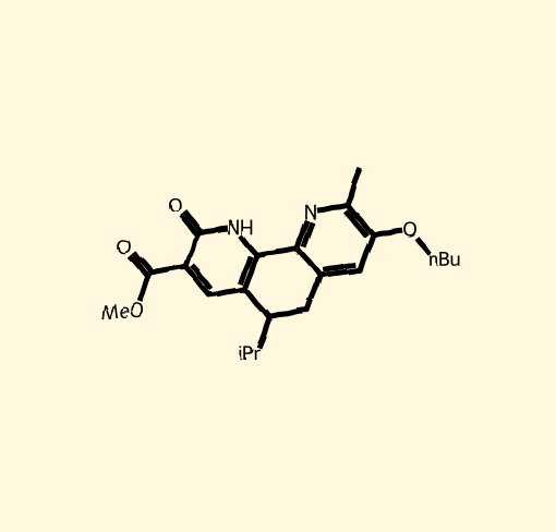 CCCCOc1cc2c(nc1C)-c1[nH]c(=O)c(C(=O)OC)cc1C(C(C)C)C2